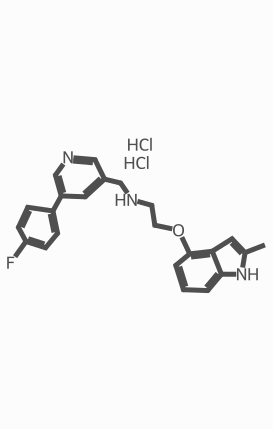 Cc1cc2c(OCCNCc3cncc(-c4ccc(F)cc4)c3)cccc2[nH]1.Cl.Cl